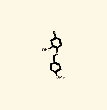 COc1ccc(COc2ccc(Br)cc2C=O)cc1